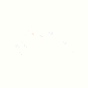 O=CN(c1nc2cc(OS(=O)(=O)c3ccc(NCCCNCCO)cc3)ccc2[nH]1)C1CC1